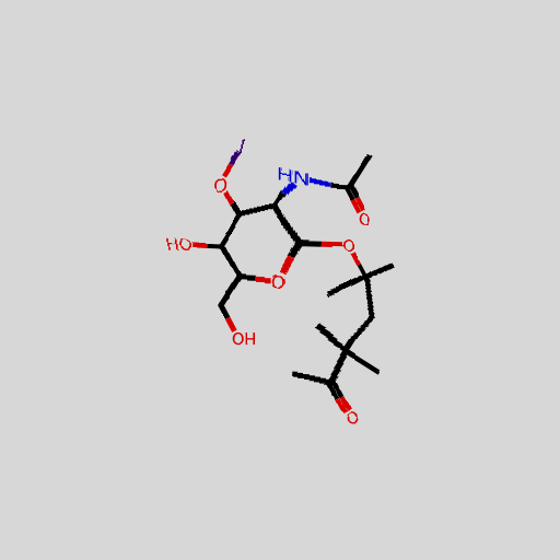 CC(=O)NC1C(OC(C)(C)CC(C)(C)C(C)=O)OC(CO)C(O)C1OI